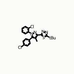 Cc1c(-c2nnc(C(C)(C)C)s2)nn(-c2ccccc2Cl)c1-c1ccc(Cl)cc1